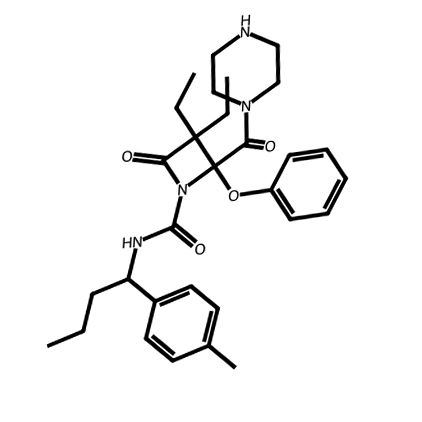 CCCC(NC(=O)N1C(=O)C(CC)(CC)C1(Oc1ccccc1)C(=O)N1CCNCC1)c1ccc(C)cc1